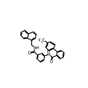 O=C(NCc1cccc2ccccc12)c1cccc(NC(=O)c2ccccc2-c2ccc(C(F)(F)F)cc2)c1